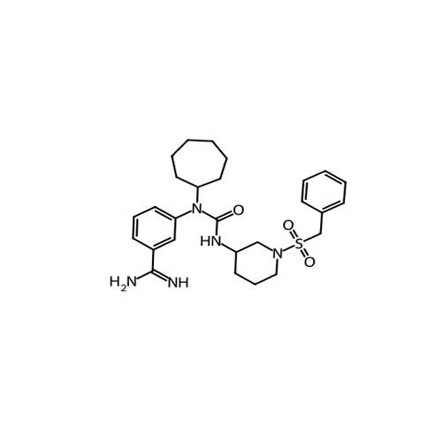 N=C(N)c1cccc(N(C(=O)NC2CCCN(S(=O)(=O)Cc3ccccc3)C2)C2CCCCCC2)c1